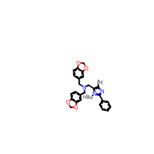 CCCCn1c(-c2ccccc2)nc(C(C)=O)c1CN(Cc1ccc2c(c1)OCO2)Cc1ccc2c(c1)OCO2